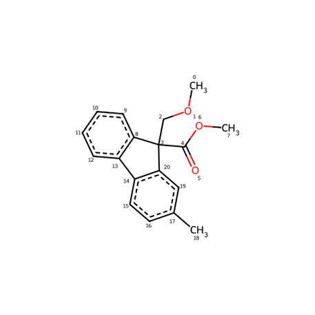 COCC1(C(=O)OC)c2ccccc2-c2ccc(C)cc21